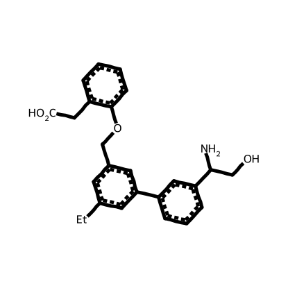 CCc1cc(COc2ccccc2CC(=O)O)cc(-c2cccc(C(N)CO)c2)c1